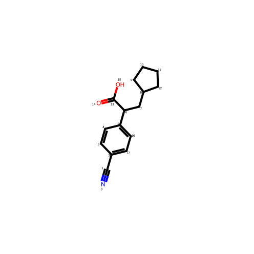 N#Cc1ccc(C(CC2CCCC2)C(=O)O)cc1